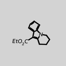 CCOC(=O)c1c2n(c3ccccc13)CCCC2